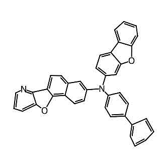 c1ccc(-c2ccc(N(c3ccc4c(ccc5c6ncccc6oc45)c3)c3ccc4c(c3)oc3ccccc34)cc2)cc1